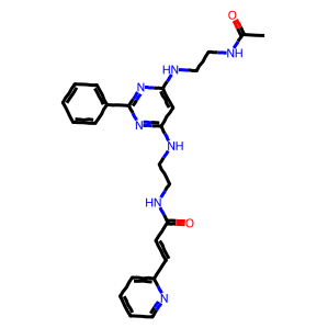 CC(=O)NCCNc1cc(NCCNC(=O)C=Cc2ccccn2)nc(-c2ccccc2)n1